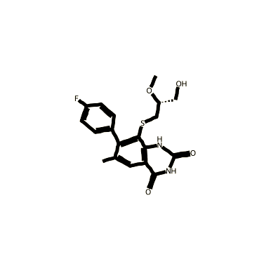 CO[C@H](CO)CSc1c(-c2ccc(F)cc2)c(C)cc2c(=O)[nH]c(=O)[nH]c12